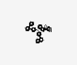 c1ccc(-c2ccccc2-c2ccc(N(c3ccc(-c4cccc5ccccc45)cc3)c3cccc4c3ccc3c5cnccc5oc43)cc2)cc1